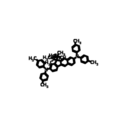 Cc1ccc(N(c2ccc(C)cc2)c2ccc3c(c2)C([Si](C)(C)C)([Si](C)(C)C)c2cc4cc(N(c5ccc(C)cc5)c5ccc(C)cc5)ccc4cc2-3)cc1